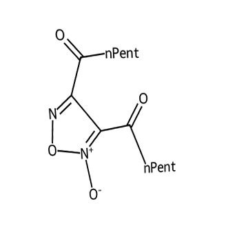 CCCCCC(=O)c1no[n+]([O-])c1C(=O)CCCCC